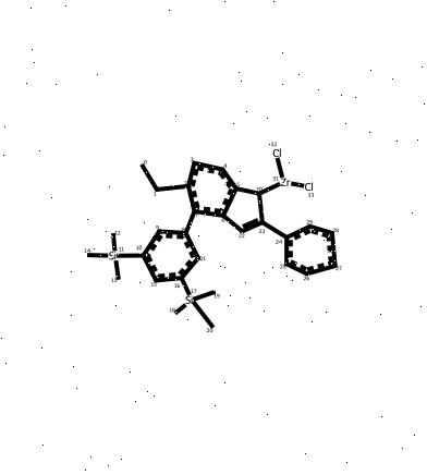 CCc1ccc2c(c1-c1cc([Si](C)(C)C)cc([Si](C)(C)C)c1)C=C(c1ccccc1)[CH]2[Zr]([Cl])[Cl]